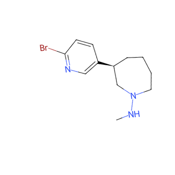 CNN1CCCC[C@H](c2ccc(Br)nc2)C1